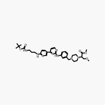 COCC(C(=O)OC)N1CCN(Cc2cccc(Nc3nccc(-c4ccc(NCCCNC(=O)OC(C)(C)C)nc4)n3)c2)CC1